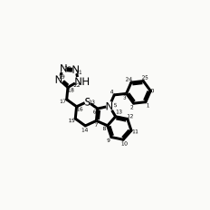 c1ccc(Cn2c3c(c4ccccc42)CCC(Cc2nnn[nH]2)S3)cc1